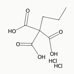 CCCC(C(=O)O)(C(=O)O)C(=O)O.Cl.Cl